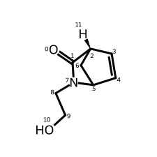 O=C1[C@@H]2C=CC(C2)N1CCO